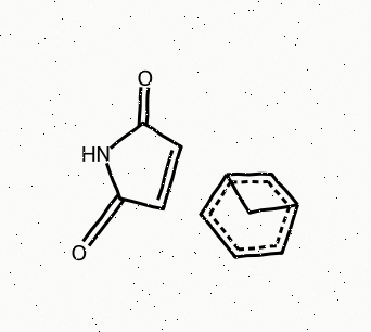 O=C1C=CC(=O)N1.c1cc2cc(c1)C2